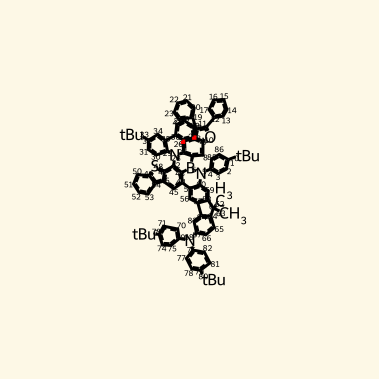 CC(C)(C)c1ccc(N2B3c4cc5oc(-c6ccccc6)c(-c6ccccc6)c5cc4N(c4ccc(C(C)(C)C)cc4-c4ccccc4)c4c3c(cc3c4sc4ccccc43)-c3cc4c(cc32)C(C)(C)c2ccc(N(c3ccc(C(C)(C)C)cc3)c3ccc(C(C)(C)C)cc3)cc2-4)cc1